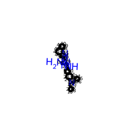 Nc1nc(Nc2ccc3c(c2)CC[C@@H](N(CC2CCCC2)CC2CCCC2)CC3)nn1-c1cc2c(nn1)-c1ccccc1CCC2